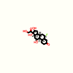 C[C@]12CCC(=O)C=C1[C@@H](F)C[C@@H]1[C@@H]2[C@@H](O)C[C@@]2(C)[C@H]1C[C@@H](O)[C@]2(O)C(=O)CO